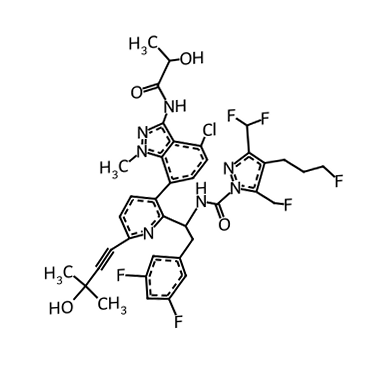 CC(O)C(=O)Nc1nn(C)c2c(-c3ccc(C#CC(C)(C)O)nc3C(Cc3cc(F)cc(F)c3)NC(=O)n3nc(C(F)F)c(CCCF)c3CF)ccc(Cl)c12